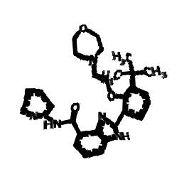 CC(C)(C)c1cccc(-c2nc3c(C(=O)Nc4ccccn4)cccc3[nH]2)c1OCCN1CCOCC1